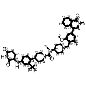 COc1cc(-c2cn(C)c(=O)c3ccccc23)cc(F)c1CN1CCC(N(C)C(=O)N2CCC(c3ccc(NC4CCC(=O)NC4=O)cc3C(F)(F)F)CC2)CC1